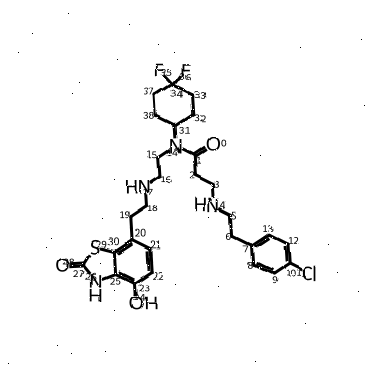 O=C(CCNCCc1ccc(Cl)cc1)N(CCNCCc1ccc(O)c2[nH]c(=O)sc12)C1CCC(F)(F)CC1